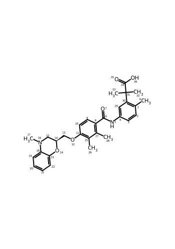 Cc1ccc(NC(=O)c2ccc(OC[C@@H]3CN(C)c4ccccc4O3)c(C)c2C)cc1C(C)(C)C(=O)O